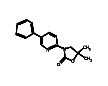 CC1(C)CN(c2ccc(-c3ccccc3)cn2)C(=O)O1